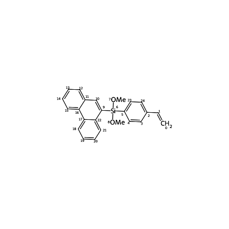 C=Cc1ccc([Si](OC)(OC)c2cc3ccccc3c3ccccc23)cc1